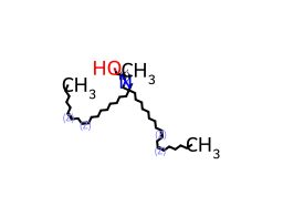 CCCCC/C=C\C/C=C\CCCCCCCCC1(CCCCCCCC/C=C\C/C=C\CCCCC)CN([C@@H](C)CO)C1